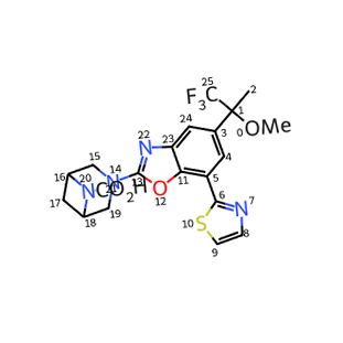 COC(C)(c1cc(-c2nccs2)c2oc(N3CC4CC(C3)N4C(=O)O)nc2c1)C(F)(F)F